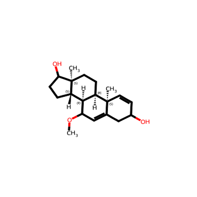 COC1C=C2CC(O)C=C[C@]2(C)[C@@H]2CC[C@]3(C)C(O)CC[C@H]3[C@H]12